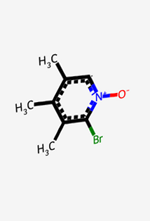 Cc1[c][n+]([O-])c(Br)c(C)c1C